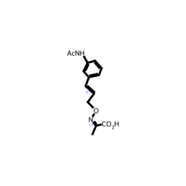 CC(=O)Nc1cccc(/C=C/CO/N=C(/C)C(=O)O)c1